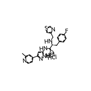 Cc1cc(-c2cc(NC(=O)[C@H](Cc3ccc(F)cc3)NCc3cscn3)[nH]n2)ccn1.Cl.Cl